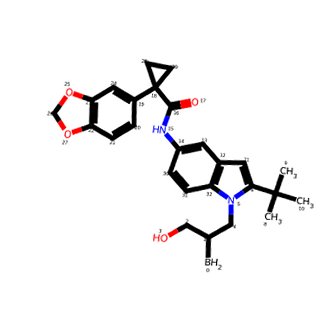 BC(CO)Cn1c(C(C)(C)C)cc2cc(NC(=O)C3(c4ccc5c(c4)OCO5)CC3)ccc21